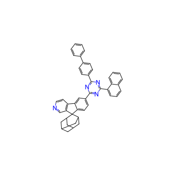 c1ccc(-c2ccc(-c3nc(-c4ccc5c(c4)-c4ccncc4C54C5CC6CC(C5)CC4C6)nc(-c4cccc5ccccc45)n3)cc2)cc1